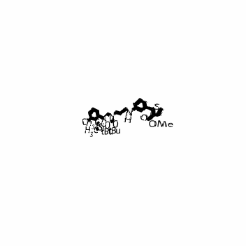 COC(=O)c1ccsc1-c1cccc(NCCCN(C[C@@H](O[Si](C)(C)C(C)(C)C)c2cccc(Cl)c2)C(=O)OC(C)(C)C)c1